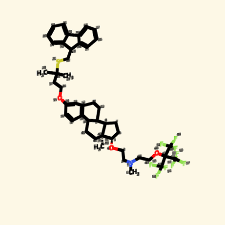 CN(CCO[C@H]1CCC2C3CCc4cc(OCCC(C)(C)SCC5c6ccccc6-c6ccccc65)ccc4C3CC[C@@]21C)CCOC(C(F)(F)F)(C(F)(F)F)C(F)(F)F